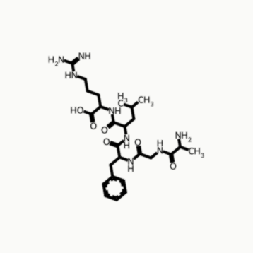 CC(C)CC(NC(=O)C(Cc1ccccc1)NC(=O)CNC(=O)C(C)N)C(=O)NC(CCCNC(=N)N)C(=O)O